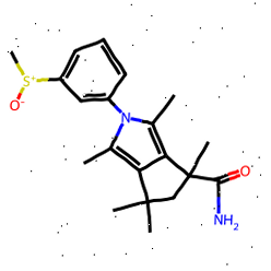 Cc1c2c(c(C)n1-c1cccc([S+](C)[O-])c1)C(C)(C(N)=O)CC2(C)C